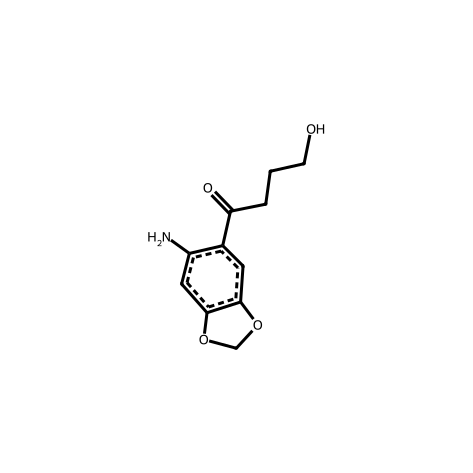 Nc1cc2c(cc1C(=O)CCCO)OCO2